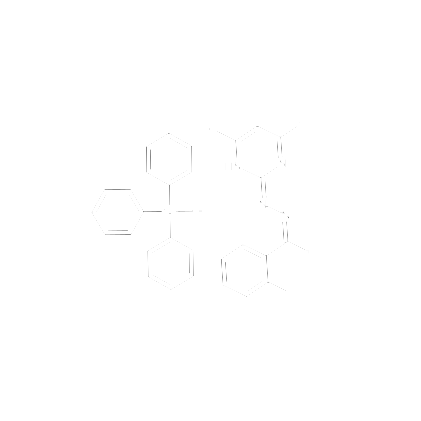 C/C(=N/N=c1\nc(C)cc(C)[nH]1)c1ccccc1C.[OH][Sn]([c]1ccccc1)([c]1ccccc1)[c]1ccccc1